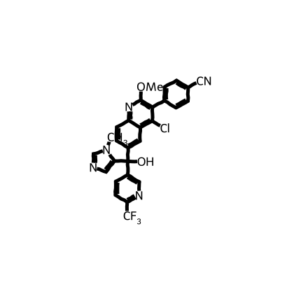 COc1nc2ccc(C(O)(c3ccc(C(F)(F)F)nc3)c3cncn3C)cc2c(Cl)c1-c1ccc(C#N)cc1